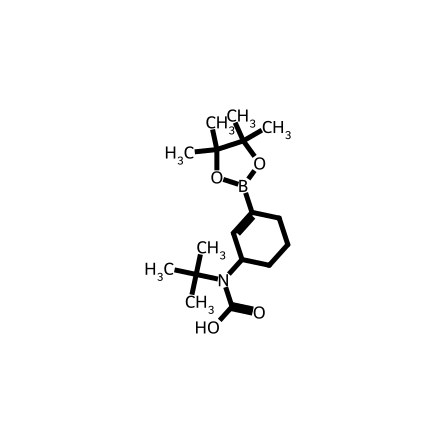 CC(C)(C)N(C(=O)O)C1C=C(B2OC(C)(C)C(C)(C)O2)CCC1